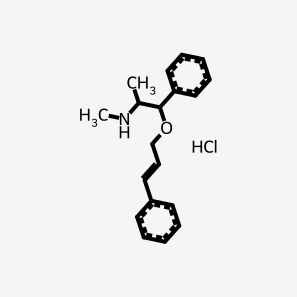 CNC(C)C(OCC=Cc1ccccc1)c1ccccc1.Cl